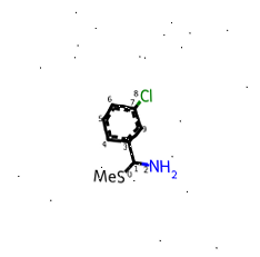 CSC(N)c1cccc(Cl)c1